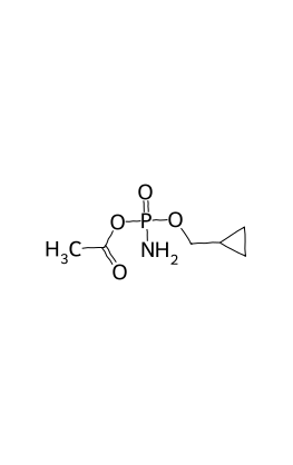 CC(=O)OP(N)(=O)OCC1CC1